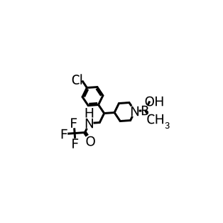 CB(O)N1CCC(C(CNC(=O)C(F)(F)F)c2ccc(Cl)cc2)CC1